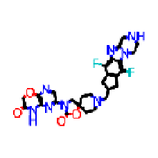 O=C1COc2ncc(N3CC4(CCN(CC5Cc6c(c(F)c7c(nc8n7CCNC8)c6F)C5)CC4)OC3=O)nc2N1